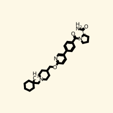 CC1(CN2CCC(COc3ccc(-c4ccc(C(=O)N5CCC[C@H]5C(N)=O)cc4)cn3)CC2)CCCCC1